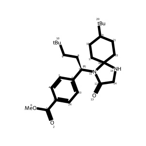 COC(=O)c1ccc([C@@H](CCC(C)(C)C)N2C(=O)CNC23CCC(C(C)(C)C)CC3)cc1